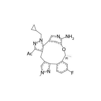 CC(=O)c1nn(CC2CC2)c2c1Cc1cn(C)nc1-c1ccc(F)cc1[C@@H](C)Oc1cc-2cnc1N